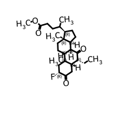 CC[C@H]1C(=O)[C@@H]2[C@H](CC[C@]3(C)[C@@H](C(C)CCC(=O)OC)CC[C@@H]23)[C@@]2(C)C[C@@H](F)C(=O)C[C@@H]12